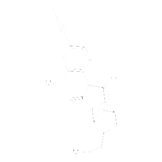 CC#Cc1ccc(C2C(=O)C3C4CC(COC)C(O4)C3C2=O)c(OC)c1